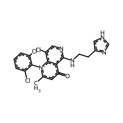 Cc1cc(=O)c2c(NCCc3c[nH]cn3)ncc(Cl)c2n1-c1c(Cl)cccc1Cl